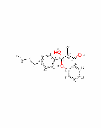 CCCCc1ccc([C@]2(O)Oc3ccccc3C(=O)[C@@H]2C)cc1